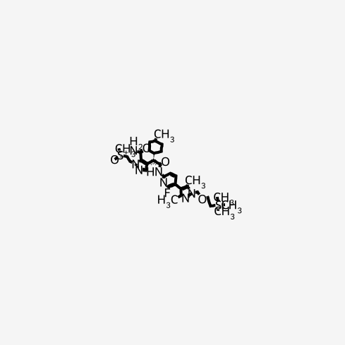 Cc1nn(COCC[Si](C)(C)C)c(C)c1-c1ccc(NC(=O)[C@H](c2cnn(CC[S+](C)[O-])c2C(N)=O)C2CCC(C)CC2)nc1F